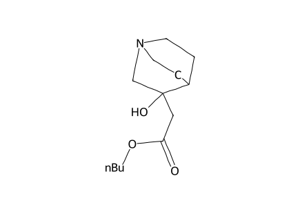 CCCCOC(=O)CC1(O)CN2CCC1CC2